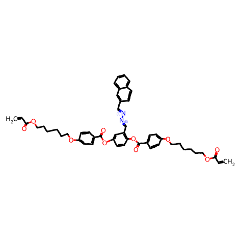 C=CC(=O)OCCCCCCOc1ccc(C(=O)Oc2ccc(OC(=O)c3ccc(OCCCCCCOC(=O)C=C)cc3)c(/C=N/N=C/c3ccc4ccccc4c3)c2)cc1